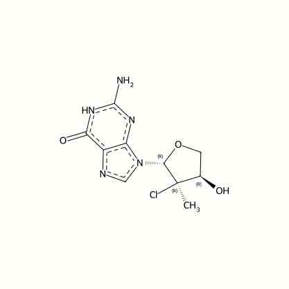 C[C@@]1(Cl)[C@H](O)CO[C@H]1n1cnc2c(=O)[nH]c(N)nc21